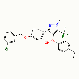 CCc1ccc(Oc2c(-c3ccc(OCc4cccc(Cl)c4)cc3O)nn(C)c2C(F)(F)F)cc1